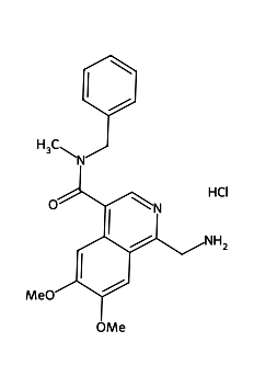 COc1cc2c(C(=O)N(C)Cc3ccccc3)cnc(CN)c2cc1OC.Cl